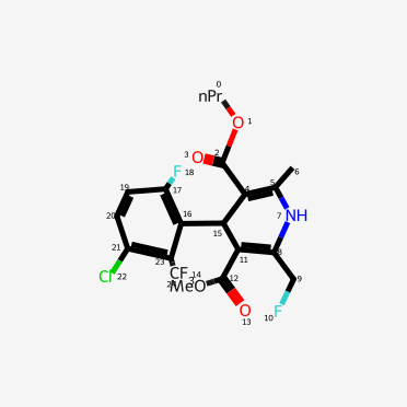 CCCOC(=O)C1=C(C)NC(CF)=C(C(=O)OC)C1c1c(F)ccc(Cl)c1C(F)(F)F